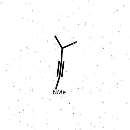 CNC#CC(C)C